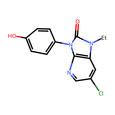 CCn1c(=O)n(-c2ccc(O)cc2)c2ncc(Cl)cc21